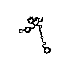 C=CCC(OCCCOCOCc1ccccc1)C(Cc1ccc(Cl)cc1)c1ccnn1C(C)C